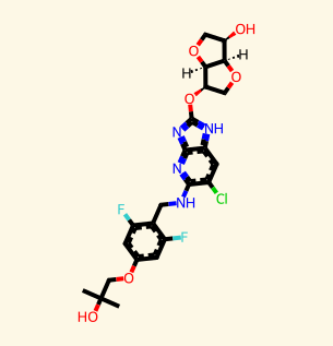 CC(C)(O)COc1cc(F)c(CNc2nc3nc(O[C@@H]4CO[C@H]5[C@@H]4OC[C@H]5O)[nH]c3cc2Cl)c(F)c1